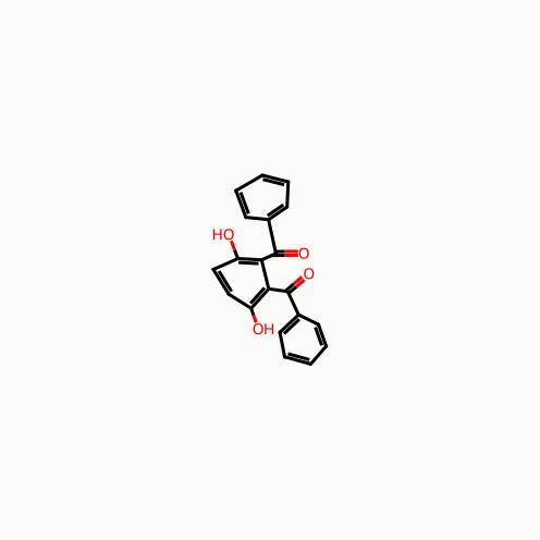 O=C(c1ccccc1)c1c(O)ccc(O)c1C(=O)c1ccccc1